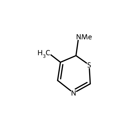 CNC1SC=NC=C1C